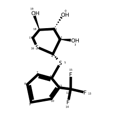 O[C@@H]1[C@@H](O)[C@H](Sc2ccccc2C(F)(F)F)SC[C@H]1O